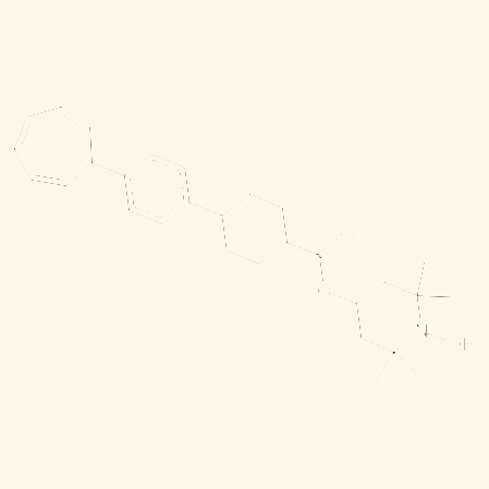 CC1(C)CC(OC(=O)C2CCC(c3ccc(C4C=CC=CC=C4)cc3)CC2)CC(C)(C)N1O